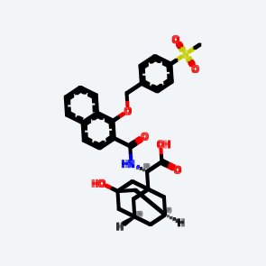 CS(=O)(=O)c1ccc(COc2c(C(=O)N[C@H](C(=O)O)C34C[C@@H]5C[C@@H](CC(O)(C5)C3)C4)ccc3ccccc23)cc1